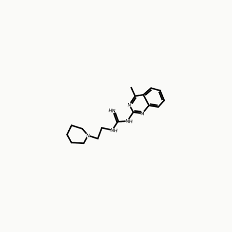 Cc1nc(NC(=N)NCCN2CCCCC2)nc2ccccc12